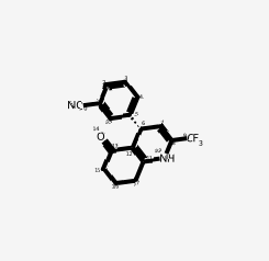 N#Cc1cccc([C@@H]2C=C(C(F)(F)F)NC3=C2C(=O)CCC3)c1